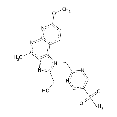 COc1ccc2c(n1)nc(C)c1nc(CO)n(Cc3ncc(S(N)(=O)=O)cn3)c12